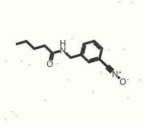 CCCCC(=O)NCc1cccc(C#[N+][O-])c1